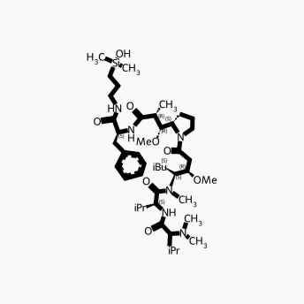 CC[C@H](C)[C@@H]([C@@H](CC(=O)N1CCC[C@H]1[C@H](OC)[C@@H](C)C(=O)N[C@@H](Cc1ccccc1)C(=O)NCCC[Si](C)(C)O)OC)N(C)C(=O)[C@@H](NC(=O)C(C(C)C)N(C)C)C(C)C